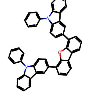 c1ccc(-n2c3ccccc3c3cc(-c4cccc5c4oc4c(-c6ccc7c(c6)c6ccccc6n7-c6ccccc6)cccc45)ccc32)cc1